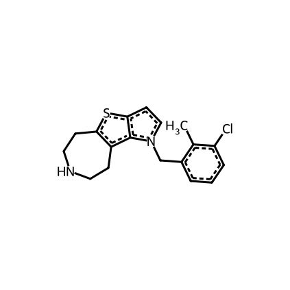 Cc1c(Cl)cccc1Cn1ccc2sc3c(c21)CCNCC3